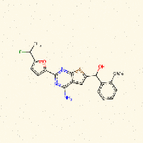 COc1ccccc1C(O)c1cc2c(N)nc(-c3ccc(C(C)F)o3)nc2s1